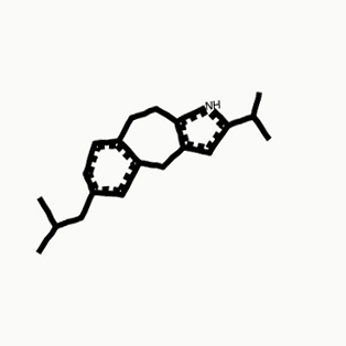 CC(C)Cc1ccc2c(c1)Cc1cc(C(C)C)[nH]c1CC2